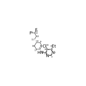 CCc1ncnc(N[C@H]2CC[C@@H](CCC(F)F)CC2)c1Cl